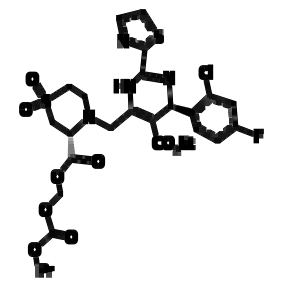 CCOC(=O)C1=C(CN2CCS(=O)(=O)C[C@H]2C(=O)OCOC(=O)OC(C)C)NC(c2nccs2)=N[C@H]1c1ccc(F)cc1Cl